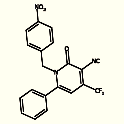 [C-]#[N+]c1c(C(F)(F)F)cc(-c2ccccc2)n(Cc2ccc([N+](=O)[O-])cc2)c1=O